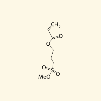 C=CC(=O)OCCCS(=O)(=O)OC